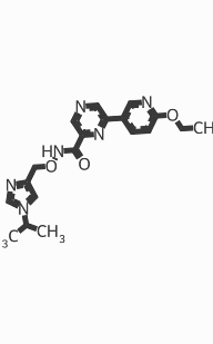 CCOc1ccc(-c2cncc(C(=O)NOCc3cn(C(C)C)cn3)n2)cn1